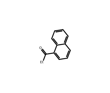 [CH2]CC(=O)c1cccc2ccccc12